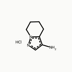 Cl.Nc1cnn2c1CCCC2